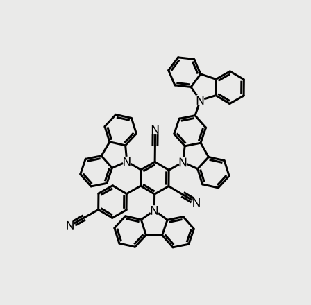 N#Cc1ccc(-c2c(-n3c4ccccc4c4ccccc43)c(C#N)c(-n3c4ccccc4c4cc(-n5c6ccccc6c6ccccc65)ccc43)c(C#N)c2-n2c3ccccc3c3ccccc32)cc1